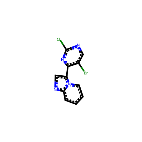 Clc1ncc(Br)c(-c2cnc3ccccn23)n1